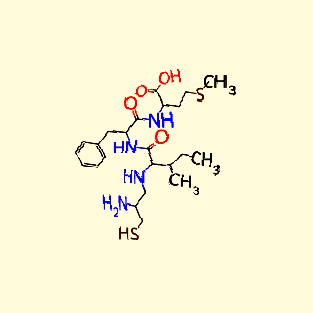 CCC(C)C(NCC(N)CS)C(=O)NC(Cc1ccccc1)C(=O)NC(CCSC)C(=O)O